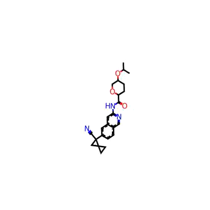 CC(C)OC1CCC(C(=O)Nc2cc3cc(C4(C#N)CC45CC5)ccc3cn2)OC1